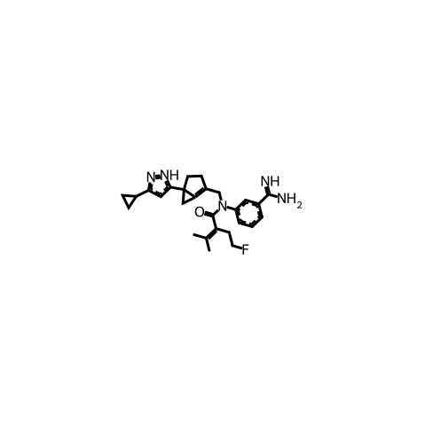 CC(C)=C(CCF)C(=O)N(CC1=C2CC2(c2cc(C3CC3)n[nH]2)CC1)c1cccc(C(=N)N)c1